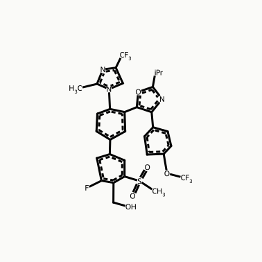 Cc1nc(C(F)(F)F)cn1-c1ccc(-c2cc(F)c(CO)c(S(C)(=O)=O)c2)cc1-c1oc(C(C)C)nc1-c1ccc(OC(F)(F)F)cc1